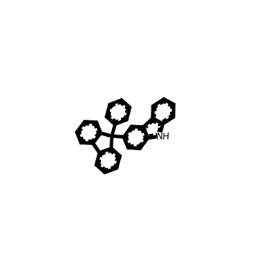 c1ccc(C2(c3ccc4[nH]c5ccccc5c4c3)c3ccccc3-c3ccccc32)cc1